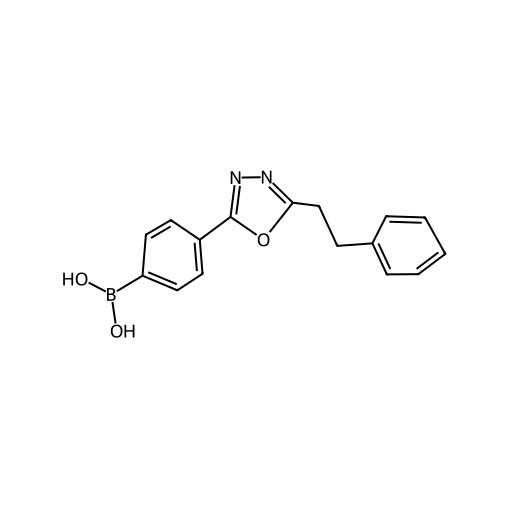 OB(O)c1ccc(-c2nnc(CCc3ccccc3)o2)cc1